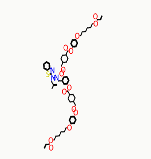 C=CC(=O)OCCCCCCOc1ccc(OOCC2CCC(C(=O)Oc3ccc(OOCC4CCC(C(=O)Oc5ccc(OCCCCCCOC(=O)C=C)cc5)CC4)c(/C=N/N(CC(=C)C)c4nc5ccccc5s4)c3)CC2)cc1